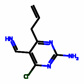 C=CCc1nc(N)nc(Cl)c1C=N